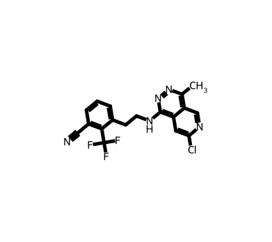 Cc1nnc(NCCc2cccc(C#N)c2C(F)(F)F)c2cc(Cl)ncc12